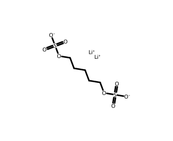 O=S(=O)([O-])OCCCCCOS(=O)(=O)[O-].[Li+].[Li+]